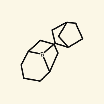 C1CC2CCCC(C1)B2C1CC2CCC1C2